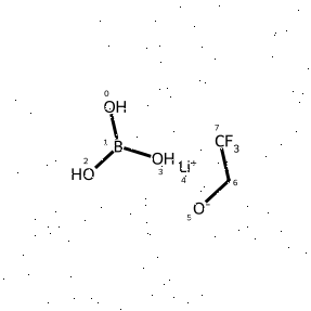 OB(O)O.[Li+].[O-]CC(F)(F)F